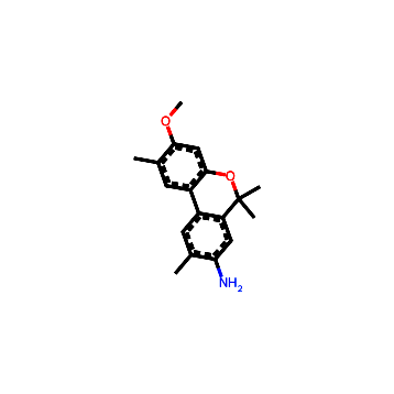 COc1cc2c(cc1C)-c1cc(C)c(N)cc1C(C)(C)O2